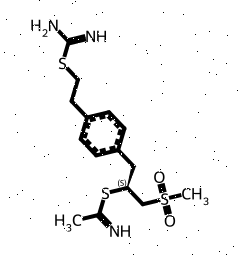 CC(=N)S[C@@H](Cc1ccc(CCSC(=N)N)cc1)CS(C)(=O)=O